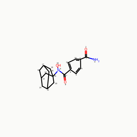 NC(=O)c1ccc(C(=O)N(O)C23CC4CC(CC(C4)C2)C3)cc1